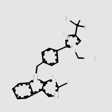 CCn1cc(C(F)(F)F)nc1-c1ccc(Cn2c3ccccc3c3cnc(Cl)nc32)cc1